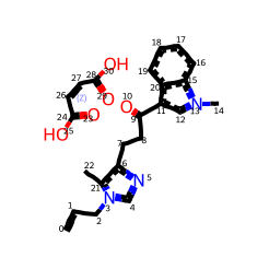 C=CCn1cnc(CCC(=O)c2cn(C)c3ccccc23)c1C.O=C(O)/C=C\C(=O)O